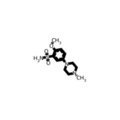 COc1ccc(N2CCN(C)CC2)cc1S(N)(=O)=O